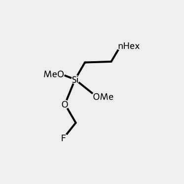 CCCCCCCC[Si](OC)(OC)OCF